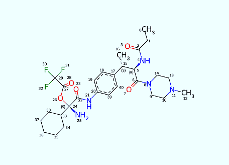 CCC(=O)N[C@@H](C(=O)N1CCN(C)CC1)[C@@H](C)c1ccc(NC(=O)[C@@](N)(OC(=O)C(F)(F)F)C2CCCCC2)cc1